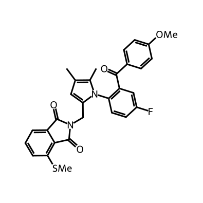 COc1ccc(C(=O)c2cc(F)ccc2-n2c(CN3C(=O)c4cccc(SC)c4C3=O)cc(C)c2C)cc1